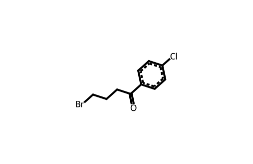 O=C(CCCBr)c1ccc(Cl)cc1